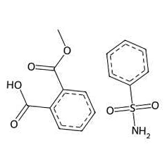 COC(=O)c1ccccc1C(=O)O.NS(=O)(=O)c1ccccc1